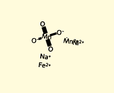 [Fe+2].[Mn+2].[Na+].[Ni+2].[O]=[Mn](=[O])([O-])[O-]